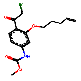 C=CCCCOc1cc(NC(=O)OC)ccc1C(=O)CBr